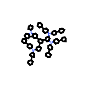 c1ccc(-c2ccc(N(c3ccc(-c4ccccc4)cc3)c3cccc(-c4cc(-c5cc(N(c6ccc(-c7ccccc7)cc6)c6ccc(-c7ccccc7)cc6)cc(N(c6ccc(-c7ccccc7)cc6)c6ccc(-c7ccccc7)cc6)c5)cc(-c5ccc6c(c5)c5ccccc5n6-c5ccccc5)c4)c3)cc2)cc1